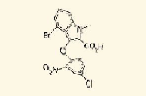 CCc1cccc2c1c(Oc1ccc(Cl)cc1[N+](=O)[O-])c(C(=O)O)n2C